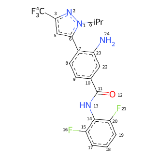 CC(C)n1nc(C(F)(F)F)cc1-c1ccc(C(=O)Nc2c(F)cccc2F)cc1N